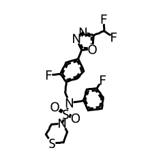 O=S(=O)(N1CCSCC1)N(Cc1ccc(-c2nnc(C(F)F)o2)cc1F)c1cccc(F)c1